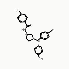 N#Cc1ccc([C@@H](c2ccc(Cl)cc2)N2CC[C@@H](NC(=O)c3ccc(C(F)(F)F)cc3)C2)cc1